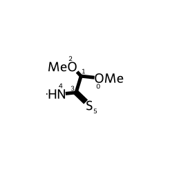 COC(OC)C([NH])=S